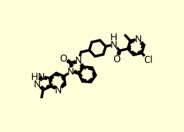 Cc1ncc(Cl)cc1C(=O)NC1CCC(Cn2c(=O)n(-c3cnc4c(C)n[nH]c4c3)c3ccccc32)CC1